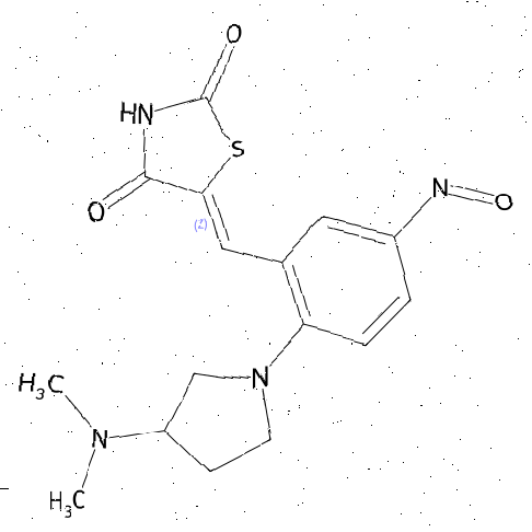 CN(C)C1CCN(c2ccc(N=O)cc2/C=C2\SC(=O)NC2=O)C1